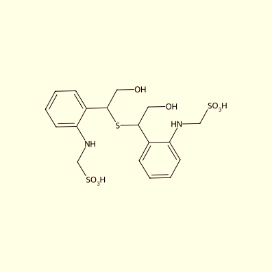 O=S(=O)(O)CNc1ccccc1C(CO)SC(CO)c1ccccc1NCS(=O)(=O)O